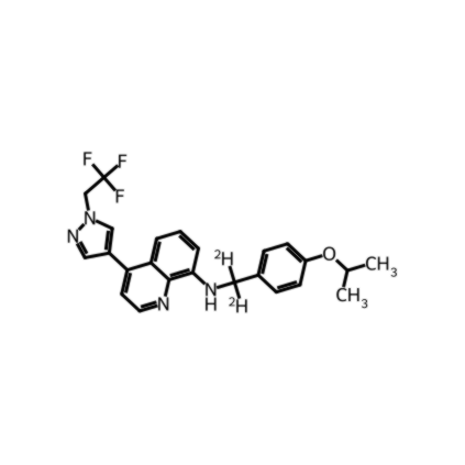 [2H]C([2H])(Nc1cccc2c(-c3cnn(CC(F)(F)F)c3)ccnc12)c1ccc(OC(C)C)cc1